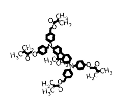 C=C(C)C(=O)COc1ccc(N(c2ccc(COC(=O)C(=C)C)cc2)c2ccc3c(c2)C(C)(C)c2cc(N(c4ccc(COC(=O)C(=C)C)cc4)c4ccc(OCC(=O)C(=C)C)cc4)ccc2-3)cc1